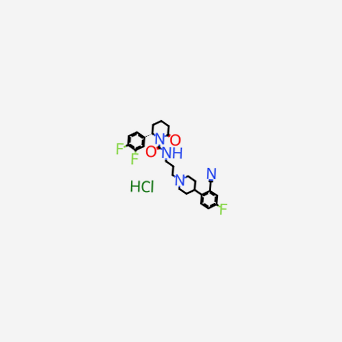 Cl.N#Cc1cc(F)ccc1C1CCN(CCCNC(=O)N2C(=O)CCC[C@H]2c2ccc(F)c(F)c2)CC1